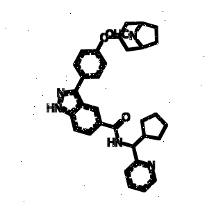 O=CN1C2CCC1CC(Oc1ccc(-c3n[nH]c4ccc(C(=O)NC(c5ccccn5)C5CCCC5)cc34)cc1)C2